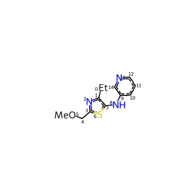 [CH2]Cc1nc(COC)sc1Nc1cccnc1